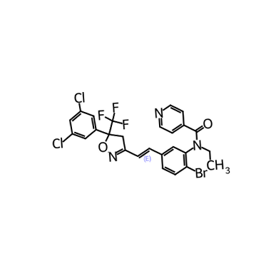 CCN(C(=O)c1ccncc1)c1cc(/C=C/C2=NOC(c3cc(Cl)cc(Cl)c3)(C(F)(F)F)C2)ccc1Br